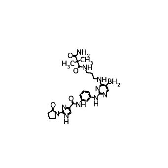 Bc1cnc(Nc2cccc(NC(=O)c3c[nH]c(N4CCCC4=O)n3)c2)nc1NCCCNC(=O)C(C)(C)C(N)=O